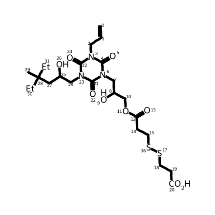 C=CCn1c(=O)n(CC(O)COC(=O)CCSSCCC(=O)O)c(=O)n(CC(O)CC(C)(CC)CC)c1=O